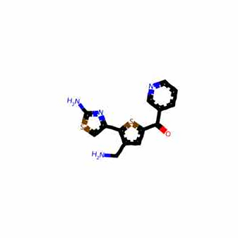 NCc1cc(C(=O)c2cccnc2)sc1-c1csc(N)n1